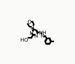 Cc1cccc(/C=N/Nc2cc(N3CCOCC3)nc(CCO)n2)c1